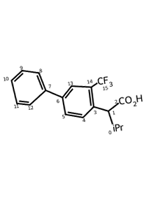 CC(C)C(C(=O)O)c1ccc(-c2ccccc2)cc1C(F)(F)F